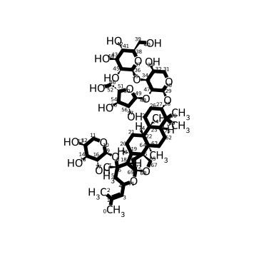 CC(C)=CC1C[C@](C)(O[C@@H]2OC[C@H](O)[C@H](O)[C@H]2O)[C@@H]2[C@H]3CC[C@@H]4[C@@]5(C)CC[C@H](O[C@@H]6OC[C@H](O)[C@H](O[C@@H]7O[C@H](CO)[C@@H](O)[C@H](O)[C@H]7O)[C@H]6O[C@@H]6O[C@@H](CO)[C@H](O)[C@H]6O)C(C)(C)[C@@H]5CC[C@@]4(C)[C@@]34CO[C@@]2(C4)O1